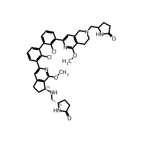 COc1nc(-c2cccc(-c3cccc(-c4cc5c(c(OC)n4)[C@@H](NC[C@@H]4CCC(=O)N4)CC5)c3Cl)c2Cl)cc2c1CCN(CC1CCC(=O)N1)C2